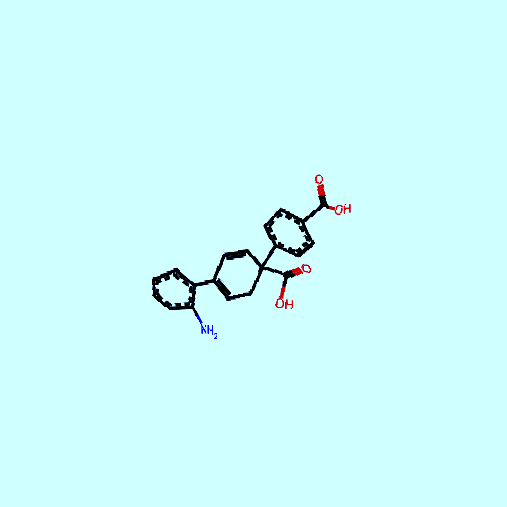 Nc1ccccc1C1=CCC(C(=O)O)(c2ccc(C(=O)O)cc2)C=C1